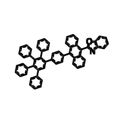 c1ccc(-c2cc(-c3ccc(-c4c5ccccc5c(-c5nc6ccccc6o5)c5ccccc45)cc3)c(-c3ccccc3)c(-c3ccccc3)c2-c2ccccc2)cc1